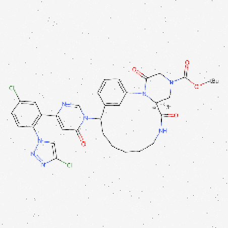 CC(C)(C)OC(=O)N1CC(=O)N2c3cccc(c3)C(n3cnc(-c4cc(Cl)ccc4-n4cc(Cl)nn4)cc3=O)CCCCCNC(=O)[C@@H]2C1